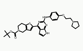 CC(C)(C)OC(=O)N1CCc2sc(-c3nc(Nc4ccc(OCCN5CCCC5)cc4)nc4[nH]ccc34)cc2C1